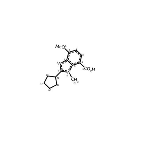 COc1ccc(C(=O)O)c2c1nc(C1CCCC1)n2C